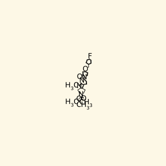 Cn1c2c(c3ccc(-n4ccc(OCc5ccc(F)cc5)cc4=O)nc31)CCN(C(=O)OC(C)(C)C)CC2